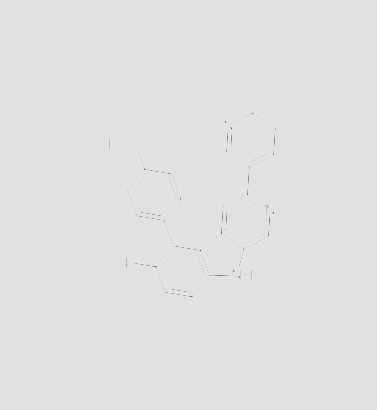 O=C(O)c1ccc(-c2c(F)ccc3[nH]c4cnc(-c5cccnc5)cc4c23)cc1